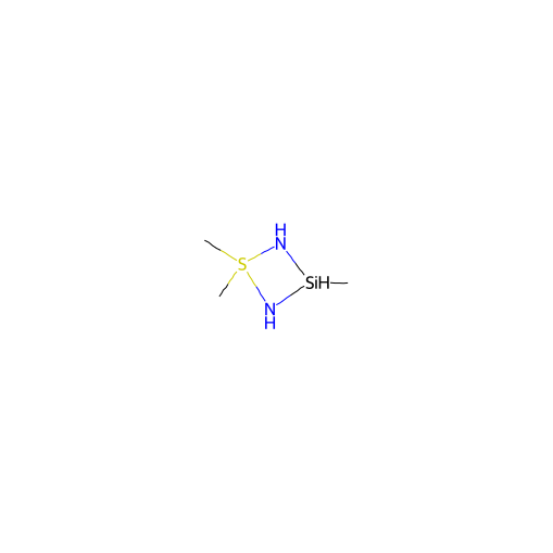 C[SiH]1NS(C)(C)N1